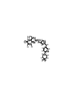 Cc1nc(NCc2cnn(Cc3ccc(N4CCC(F)(F)CC4)nc3)c2)nc2c1NC(=O)[C@H](C)N2C